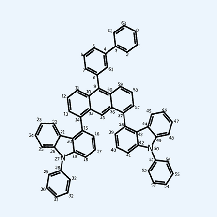 c1ccc(-c2cccc(-c3c4cccc(-c5cccc6c5c5ccccc5n6-c5ccccc5)c4cc4c(-c5cccc6c5c5ccccc5n6-c5ccccc5)cccc34)c2)cc1